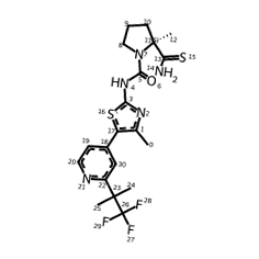 Cc1nc(NC(=O)N2CCC[C@@]2(C)C(N)=S)sc1-c1ccnc(C(C)(C)C(F)(F)F)c1